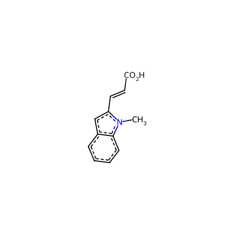 Cn1c(C=CC(=O)O)cc2ccccc21